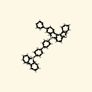 c1ccc(-c2ccc3c4c5c(ccc4n(-c4ccc(-c6ccc(-n7c8ccccc8c8ccccc87)cc6)cc4)c3c2)oc2ccccc25)cc1